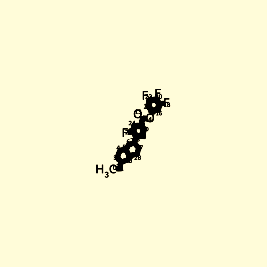 CCC1CCC2CC(c3ccc(C(=O)Oc4cc(F)c(F)c(F)c4)cc3F)CCC2C1